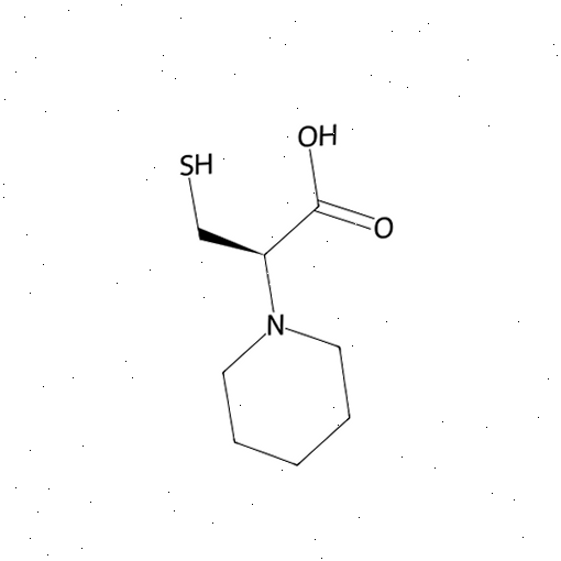 O=C(O)[C@H](CS)N1CCCCC1